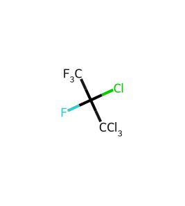 FC(F)(F)C(F)(Cl)C(Cl)(Cl)Cl